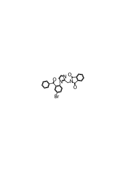 O=C(c1ccccc1)c1cc(Br)ccc1-n1ccnc1CN1C(=O)c2ccccc2C1=O